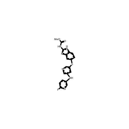 COC(=O)Nc1nc2cc(Sc3cncc(Nc4ccc(F)nc4)c3)ccc2[nH]1